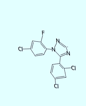 Fc1cc(Cl)ccc1-n1n[c]nc1-c1ccc(Cl)cc1Cl